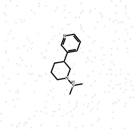 C[SH](C)N1CCCC(c2cccnc2)C1